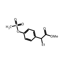 CCC(C(=O)OC)c1ccc(OS(C)(=O)=O)cc1